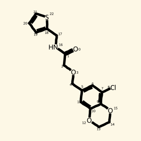 O=C(COCc1cc(Cl)c2c(c1)OCCO2)NCc1cccs1